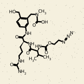 CC(C)[C@H](NC(=O)OCCN=[N+]=[N-])C(=O)N[C@@H](CCCNC(N)=O)C(=O)Nc1ccc(CO)c(CN(C)C(=O)O)c1